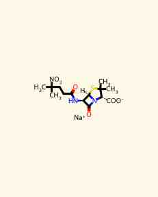 CC1(C)S[C@@H]2[C@H](NC(=O)CCC(C)(C)[N+](=O)[O-])C(=O)N2[C@H]1C(=O)[O-].[Na+]